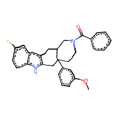 COc1cccc(C23CCN(C(=O)c4ccccc4)CC2Cc2c([nH]c4ccc(F)cc24)C3)c1